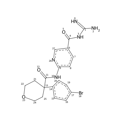 N=C(N)NC(=O)c1ccc(NC(=O)C2(c3ccc(Br)cc3)CCOCC2)nc1